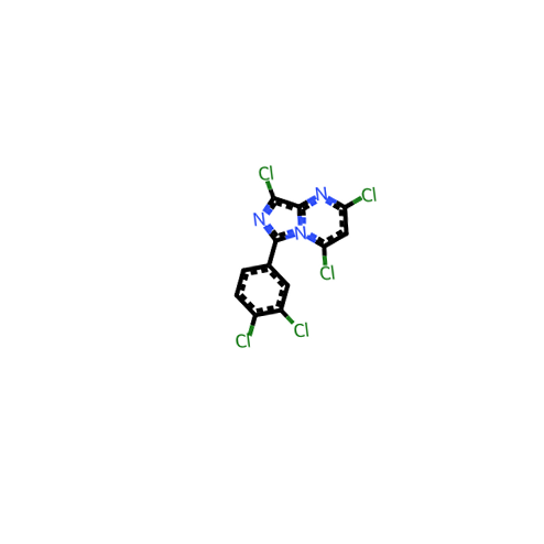 Clc1cc(Cl)n2c(-c3ccc(Cl)c(Cl)c3)nc(Cl)c2n1